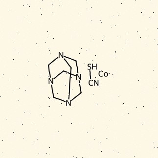 C1N2CN3CN1CN(C2)C3.N#CS.[Co]